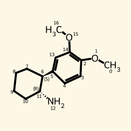 COc1ccc([C@@H]2CCCC[C@H]2N)cc1OC